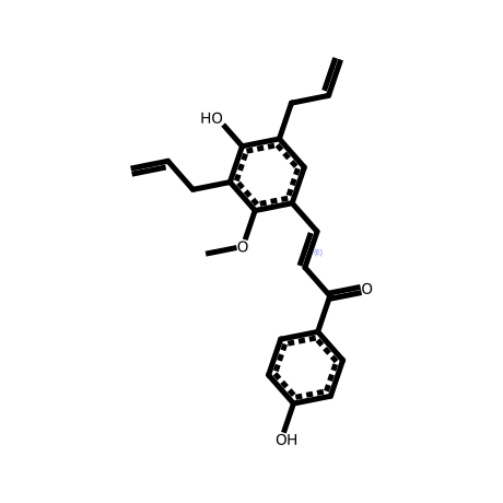 C=CCc1cc(/C=C/C(=O)c2ccc(O)cc2)c(OC)c(CC=C)c1O